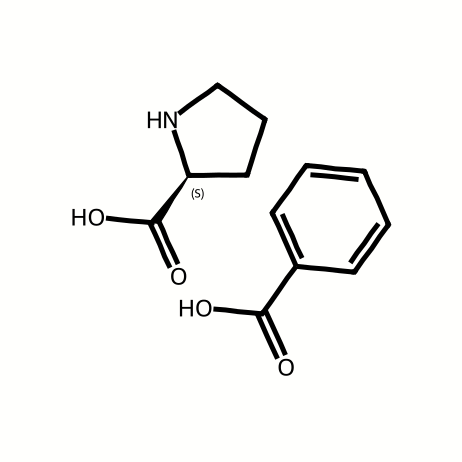 O=C(O)[C@@H]1CCCN1.O=C(O)c1ccccc1